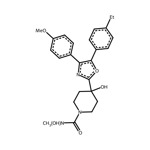 CCc1ccc(-c2oc(C3(O)CCN(C(=O)N(C)O)CC3)nc2-c2ccc(OC)cc2)cc1